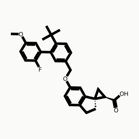 COc1ccc(F)c(-c2cc(COc3ccc4c(c3)[C@@]3(CC4)C[C@H]3C(=O)O)ccc2C(C)(C)C)c1